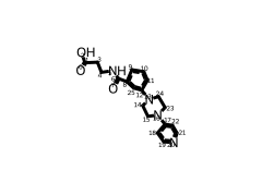 O=C(O)CCNC(=O)c1cccc(N2CCN(c3ccncc3)CC2)c1